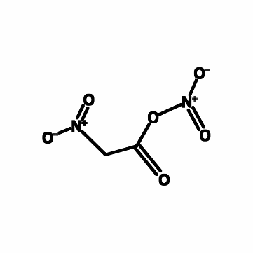 O=C(C[N+](=O)[O-])O[N+](=O)[O-]